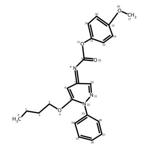 CCCCOc1cc(=NC(=O)Oc2ccc(OC)cc2)cnn1-c1ccccc1